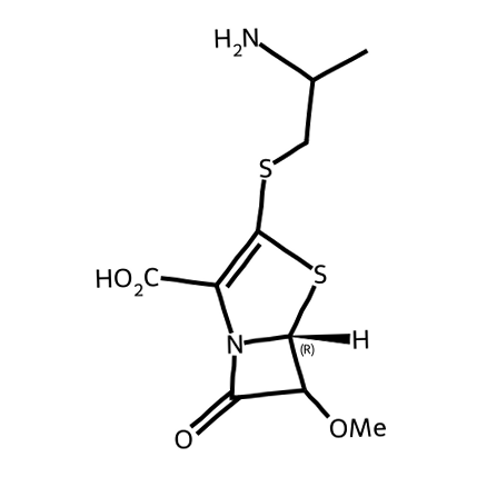 COC1C(=O)N2C(C(=O)O)=C(SCC(C)N)S[C@H]12